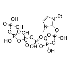 CCN1C=CN(C)C1OP(=O)(O)OP(=O)(O)OP(=O)(O)OP(=O)(O)OP(=O)(O)OP(=O)(O)O